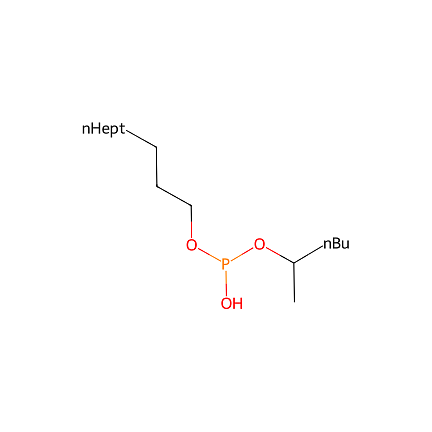 CCCCCCCCCCOP(O)OC(C)CCCC